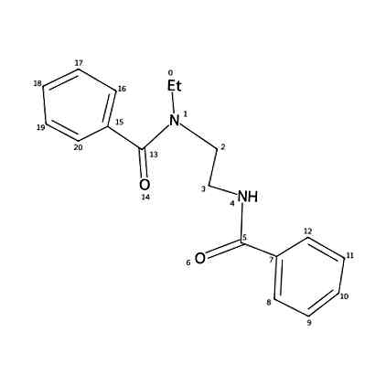 CCN(CCNC(=O)c1ccccc1)C(=O)c1ccccc1